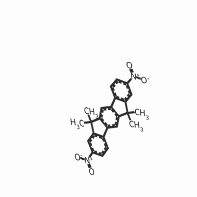 CC1(C)c2cc([N+](=O)[O-])ccc2-c2cc3c(cc21)-c1ccc([N+](=O)[O-])cc1C3(C)C